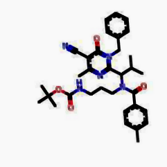 Cc1ccc(C(=O)N(CCCNC(=O)OC(C)(C)C)C(c2nc(C)c(C#N)c(=O)n2Cc2ccccc2)C(C)C)cc1